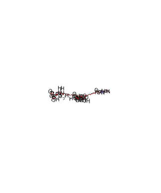 CN(C)c1ccc(/N=N/c2ccc(C(=O)NCCCCCCCCCC(=O)OC3CC(O)C(O)[C@@](O)(O[C@H]4OC(COC(=O)CCCCCCCCCNC(=S)Nc5ccc(-c6c7ccc(=O)cc-7oc7cc(O)ccc67)c(C(=O)O)c5)[C@@H](O)C(O)C4O)O3)cc2)cc1